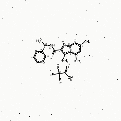 Cc1cc(C)c2c(N)c(C(=O)NC(C)c3ccccc3)sc2n1.O=C(O)C(F)(F)F